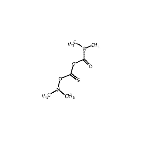 CN(C)OC(=S)OC(=O)N(C)C